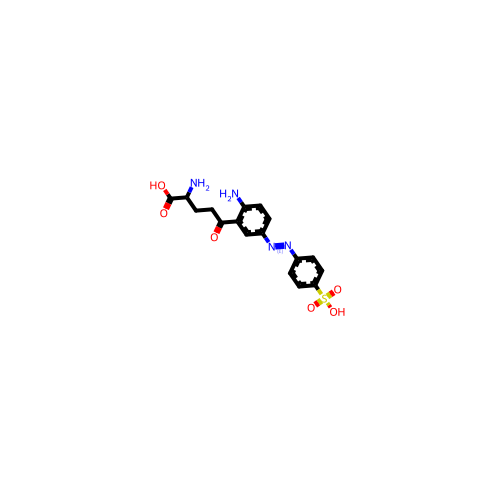 Nc1ccc(/N=N/c2ccc(S(=O)(=O)O)cc2)cc1C(=O)CCC(N)C(=O)O